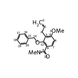 C=CCc1c(OC)ccc(C(=O)NC)c1OCc1ccccc1